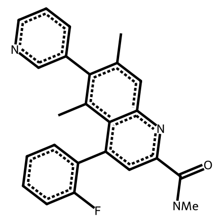 CNC(=O)c1cc(-c2ccccc2F)c2c(C)c(-c3cccnc3)c(C)cc2n1